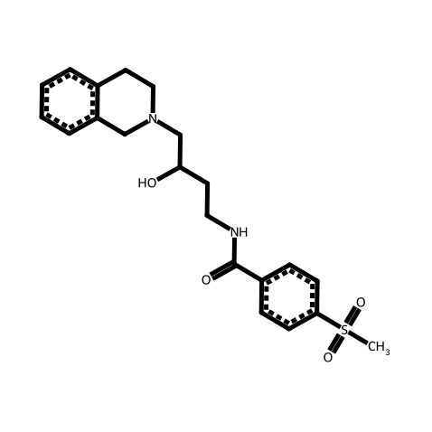 CS(=O)(=O)c1ccc(C(=O)NCCC(O)CN2CCc3ccccc3C2)cc1